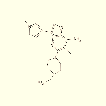 Cc1c(N2CCC(CC(=O)O)CC2)nc2c(-c3ccn(C)c3)cnn2c1N